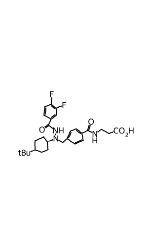 CC(C)(C)[C@H]1CC[C@@H](N(Cc2ccc(C(=O)NCCC(=O)O)cc2)NC(=O)c2ccc(F)c(F)c2)CC1